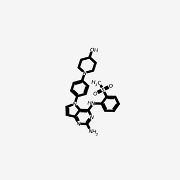 CS(=O)(=O)c1ccccc1Nc1nc(N)nc2ccn(-c3ccc(N4CCC(O)CC4)cc3)c12